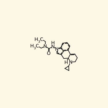 CCN(CC)C(=O)Nn1cc2c3c(cccc31)C1=CCCN(C3CC3)[C@@H]1C2